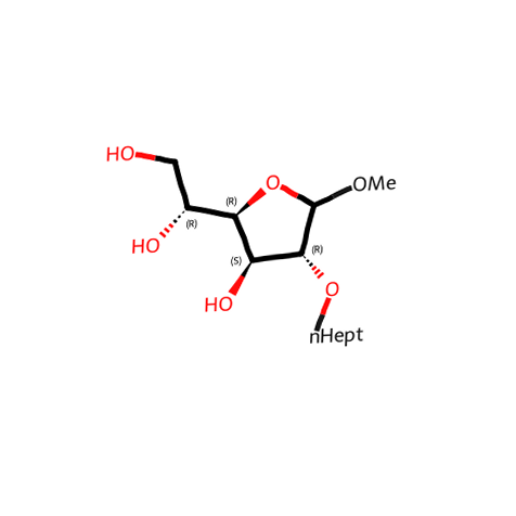 CCCCCCCO[C@H]1C(OC)O[C@H]([C@H](O)CO)[C@@H]1O